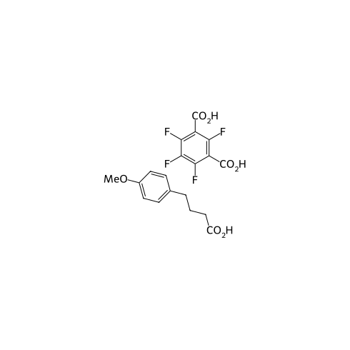 COc1ccc(CCCC(=O)O)cc1.O=C(O)c1c(F)c(F)c(F)c(C(=O)O)c1F